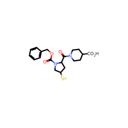 O=C(O)C1CCN(C(=O)C2CC(S)CN2C(=O)OCc2ccccc2)CC1